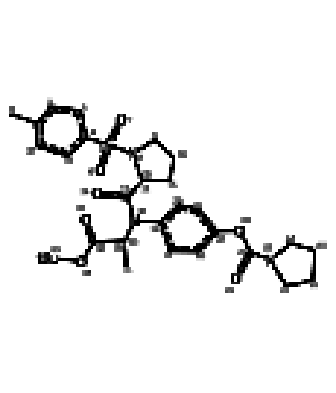 Cc1ccc(S(=O)(=O)N2CCC[C@H]2C(=O)N(c2ccc(OC(=O)N3CCCC3)cc2)[C@@H](C)C(=O)OC(C)(C)C)cc1